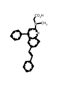 CN(CC(=O)O)c1cc(-c2ccccc2)c2cc(/C=C/c3ccccc3)ccc2n1